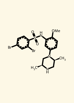 COc1ccc(N2C[C@H](C)NC[C@@H]2C)cc1NS(=O)(=O)c1ccc(Br)cc1Br